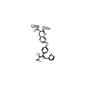 COC(=O)C(Cc1ccc(Oc2ccc(/C(=C\c3cccnc3)C(=O)N(C)C)cc2)cc1)C(=O)OC